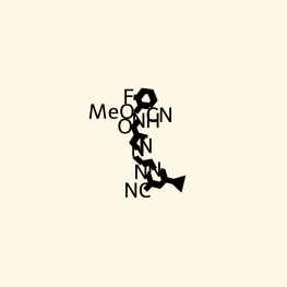 COC(NC(=O)c1cnn(Cc2cn3cc(C4CC4)cc(C#N)c3n2)c1)c1c(F)cccc1C#N